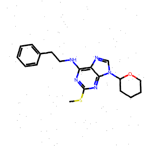 CSc1nc(NCCc2ccccc2)c2ncn(C3CCCCO3)c2n1